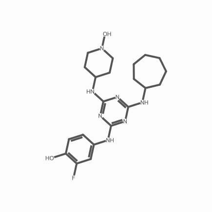 Oc1ccc(Nc2nc(NC3CCCCCC3)nc(NC3CCN(O)CC3)n2)cc1F